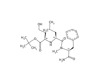 CC(C)C[C@H](N[C@H](CCO)C(=O)OC(C)(C)C)C(=O)N(C)[C@@H](Cc1ccccc1)C(N)=O